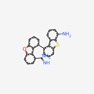 N=C(N)c1cccc2oc3cccc(-c4cccc5sc6c(N)cccc6c45)c3c12